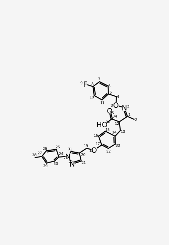 CC(=NOCc1ccc(F)cc1)C(Cc1ccc(OCc2cnn(-c3ccc(C)cc3)c2)cc1)C(=O)O